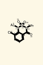 CC(=O)N1c2c(Cl)cccc2C(=O)N(C(C)C)S1(=O)=O